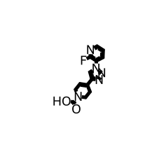 O=C(O)N1CC=C(c2cn(-c3cccnc3F)nn2)CC1